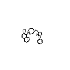 Clc1ccc2cccnc2c1N1CCCN(Cc2ccn(-c3ccccc3)n2)CC1